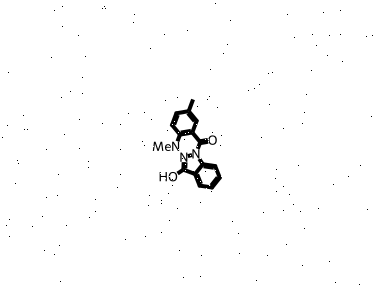 CNc1ccc(C)cc1C(=O)n1nc(O)c2ccccc21